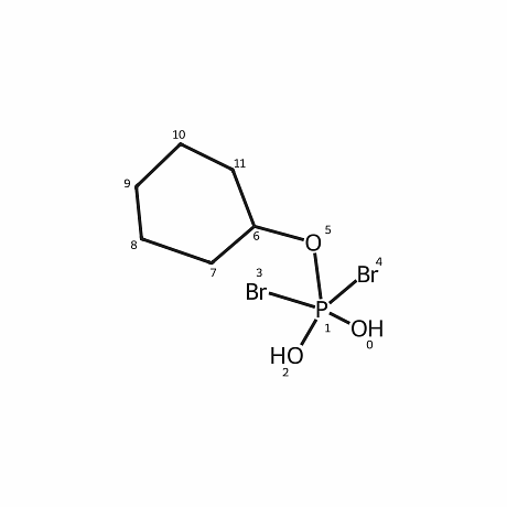 OP(O)(Br)(Br)OC1CCCCC1